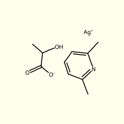 CC(O)C(=O)[O-].Cc1cccc(C)n1.[Ag+]